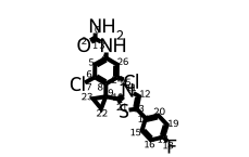 NC(=O)Nc1cc(Cl)c(C2(c3ncc(-c4ccc(F)cc4)s3)CC2)c(Cl)c1